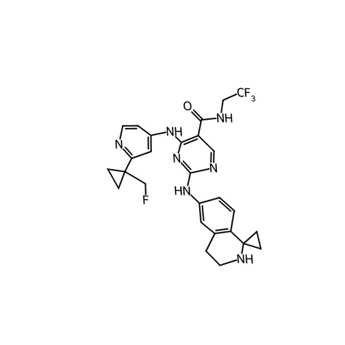 O=C(NCC(F)(F)F)c1cnc(Nc2ccc3c(c2)CCNC32CC2)nc1Nc1ccnc(C2(CF)CC2)c1